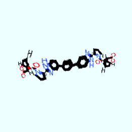 O=C1O[C@@H]2C[C@@H]3C[C@@H]2[C@@H]1[C@H]3C(=O)N1CCC[C@H]1c1nc2cc(-c3ccc(-c4ccc5[nH]c([C@@H]6CCCN6C(=O)[C@H]6[C@H]7C[C@@H]8[C@H]6C(=O)O[C@@H]8C7)nc5c4)cc3)ccc2[nH]1